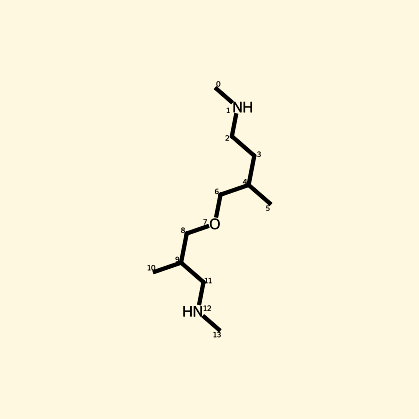 CNCCC(C)COCC(C)CNC